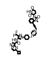 Cn1c(=O)n(C2CCC(=O)NC2=O)c2cccc(C#CCN3CCN(C[C@H]4CC[C@H](n5cc(NC(=O)c6cnn7ccc(C8CCC8)nc67)c(C(F)F)n5)CC4)CC3)c21